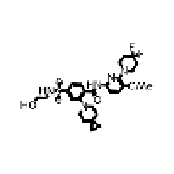 COc1ccc(NC(=O)c2ccc(S(=O)(=O)NCCO)cc2N2CCC3(CC2)CC3)nc1N1CCC(F)(F)CC1